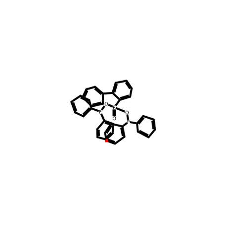 O=P(OP(c1ccccc1)c1ccccc1)(OP(c1ccccc1)c1ccccc1)c1ccccc1-c1ccccc1